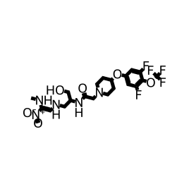 CN/C(=C\NCC(CO)NC(=O)CN1CCC(Oc2cc(F)c(OC(F)(F)F)c(F)c2)CC1)[N+](=O)[O-]